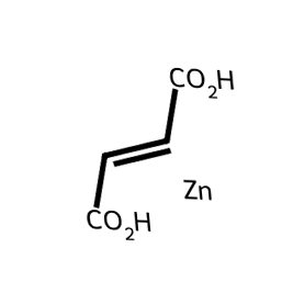 O=C(O)C=CC(=O)O.[Zn]